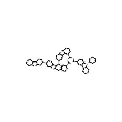 c1ccc(-c2nc(-c3ccc4c(c3)c3ccccc3n4-c3ccccc3)nc(-c3cccc4oc5ccc(-c6cccc7sc8cc(-c9ccc%10c(c9)sc9ccccc9%10)ccc8c67)cc5c34)n2)cc1